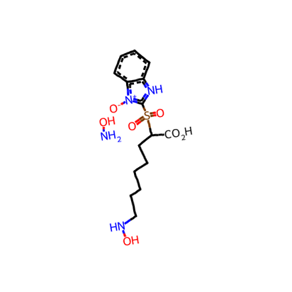 NO.O=C(O)C(CCCCCCNO)S(=O)(=O)c1[nH]c2ccccc2[n+]1[O-]